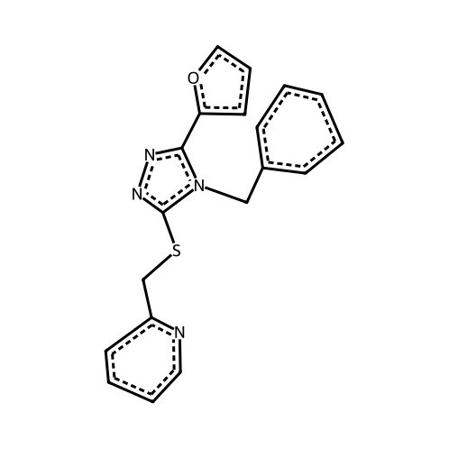 c1ccc(Cn2c(SCc3ccccn3)nnc2-c2ccco2)cc1